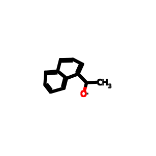 CC([O])c1cccc2ccccc12